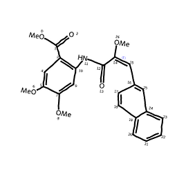 COC(=O)c1cc(OC)c(OC)cc1NC(=O)/C(=C\c1ccc2ccccc2c1)OC